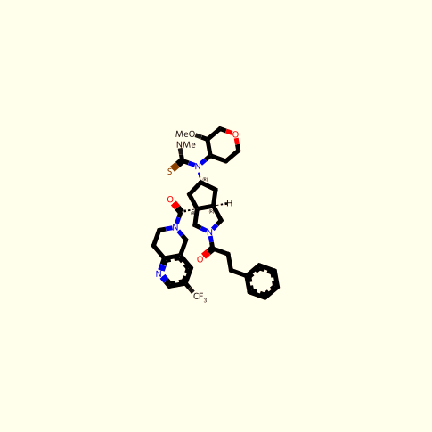 CNC(=S)N(C1CCOCC1OC)[C@@H]1C[C@H]2CN(C(=O)CCc3ccccc3)C[C@@]2(C(=O)N2CCc3ncc(C(F)(F)F)cc3C2)C1